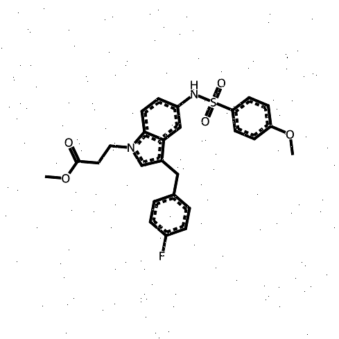 COC(=O)CCn1cc(Cc2ccc(F)cc2)c2cc(NS(=O)(=O)c3ccc(OC)cc3)ccc21